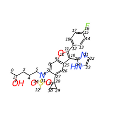 CC(O)CCCN(c1cc2oc(-c3ccc(F)cc3)c(-c3ncc[nH]3)c2cc1C1CC1)S(C)(=O)=O